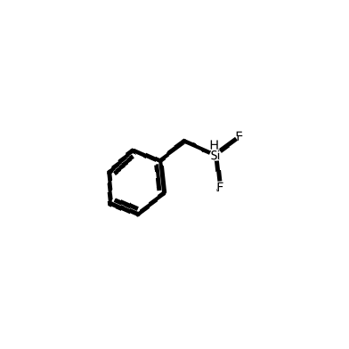 F[SiH](F)Cc1ccccc1